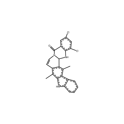 Cc1c2c(c(C)c3c1[nH]c1ccccc13)C1Nc3c(Cl)cc(Cl)cc3C(=O)N1C=C2